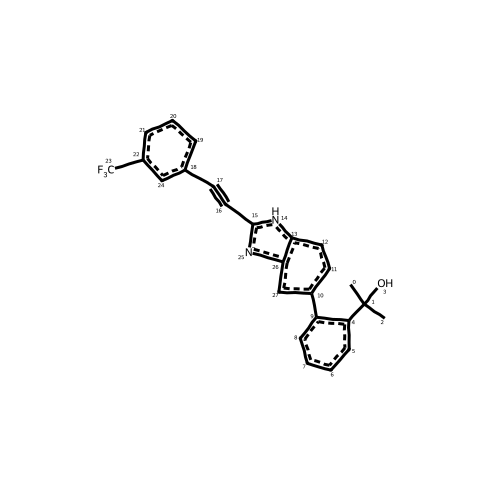 CC(C)(O)c1ccccc1-c1ccc2[nH]c(C#Cc3cccc(C(F)(F)F)c3)nc2c1